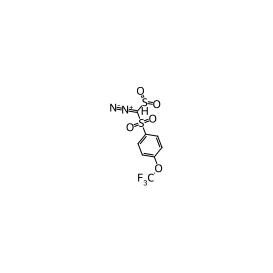 [N-]=[N+]=C([SH](=O)=O)S(=O)(=O)c1ccc(OC(F)(F)F)cc1